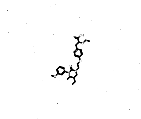 CCOC(Cc1ccc(OCCN(CC(CC)CC)C(=O)Nc2cccc(OC)c2)cc1)C(=O)O